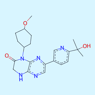 COC1CCC(N2C(=O)CNc3ncc(-c4ccc(C(C)(C)O)nc4)nc32)CC1